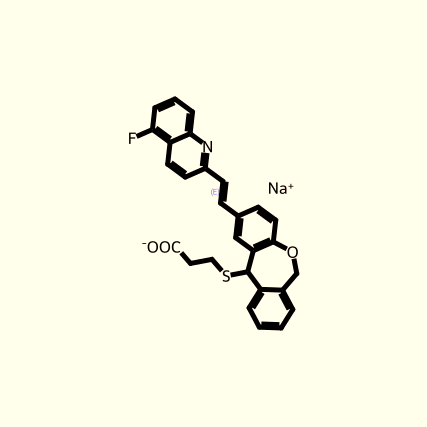 O=C([O-])CCSC1c2ccccc2COc2ccc(/C=C/c3ccc4c(F)cccc4n3)cc21.[Na+]